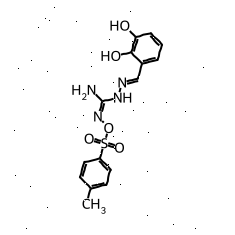 Cc1ccc(S(=O)(=O)ON=C(N)NN=Cc2cccc(O)c2O)cc1